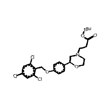 CC(C)(C)OC(=O)CCN1CCOC(c2ccc(OCc3c(Cl)cc(Cl)cc3Cl)cc2)C1